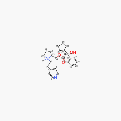 C[N+]1(CCc2ccncc2)CCCC1COC(=O)[C@](O)(c1ccccc1)C1CCCC1